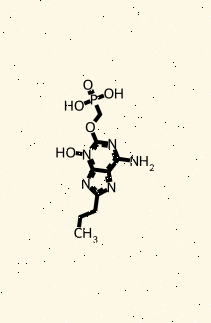 CCCc1nc2c(N)nc(OCP(=O)(O)O)n(O)c-2n1